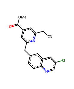 COC(=O)c1cc(CC#N)nc(Cc2ccc3ncc(Cl)cc3c2)c1